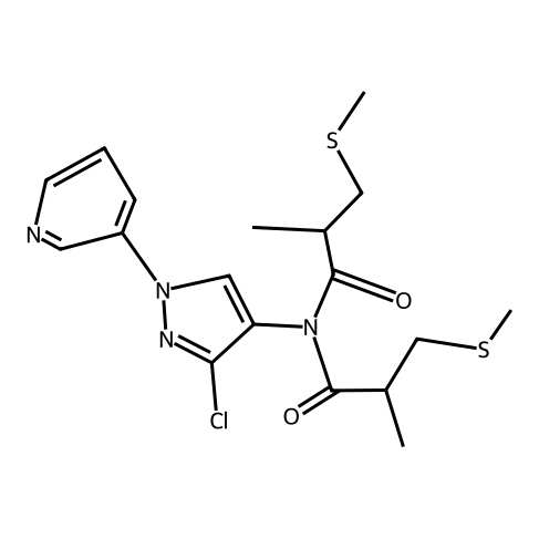 CSCC(C)C(=O)N(C(=O)C(C)CSC)c1cn(-c2cccnc2)nc1Cl